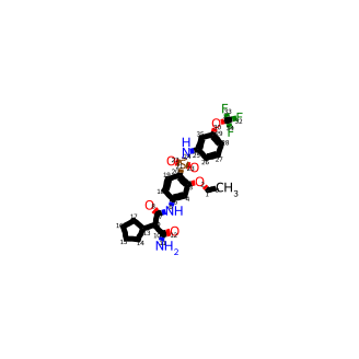 CCOc1cc(NC(=O)C(C(N)=O)C2CCCC2)ccc1S(=O)(=O)Nc1cccc(OC(F)(F)F)c1